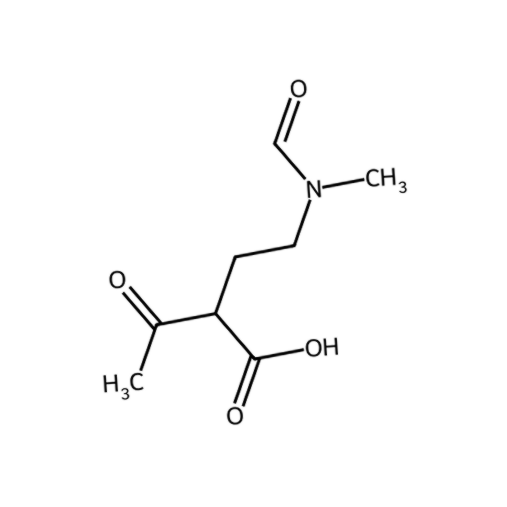 CC(=O)C(CCN(C)C=O)C(=O)O